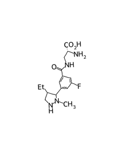 CCC1CNN(C)C1c1cc(F)cc(C(=O)NC[C@@H](N)C(=O)O)c1